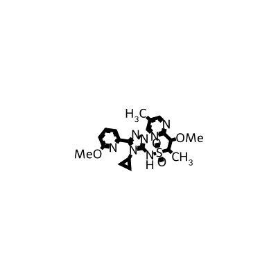 COc1cccc(-c2nnc(NS(=O)(=O)C(C)C(OC)c3ncc(C)cn3)n2C2CC2)n1